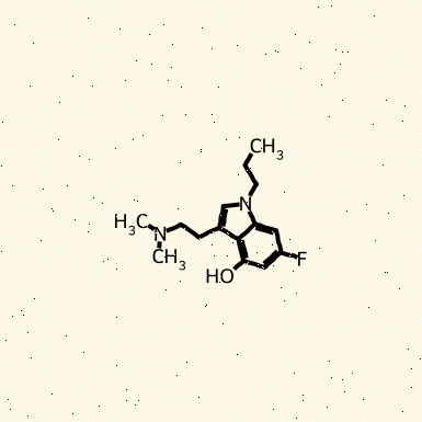 CCCn1cc(CCN(C)C)c2c(O)cc(F)cc21